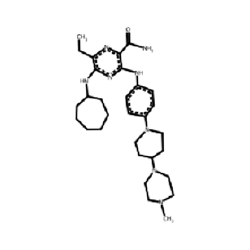 CCc1nc(C(N)=O)c(Nc2ccc(N3CCC(N4CCN(C)CC4)CC3)cc2)nc1NC1CCCCCC1